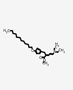 CCCCCCCCCCCCOc1ccc(C/C(=C\C=C\N(CC)CC)C(=O)OC)cc1